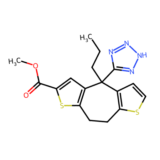 CCCC1(c2nn[nH]n2)c2ccsc2CCc2sc(C(=O)OC)cc21